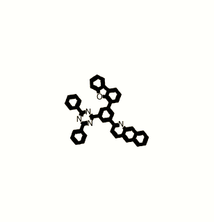 c1ccc(-c2nc(-c3ccccc3)nc(-c3cc(-c4ccc5cc6ccccc6cc5n4)cc(-c4cccc5c4oc4ccccc45)c3)n2)cc1